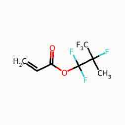 C=CC(=O)OC(F)(F)C(C)(F)C(F)(F)F